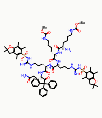 Cc1c(C)c(S(=O)(=O)NC(=N)NCCC[C@H](NC(=O)[C@H](CCCCNC(=O)OC(C)(C)C)NC(=O)[C@@H](N)CCCCNC(=O)OC(C)(C)C)C(=O)N[C@@H](CCCNC(=N)NS(=O)(=O)c2c(C)c(C)c3c(c2C)CC(C)(C)O3)C(=O)N[C@@H](CCC(N)=O)C(=O)C(c2ccccc2)(c2ccccc2)c2ccccc2)c(C)c2c1OC(C)(C)C2